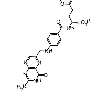 [N-]=[N+]=NOC(=O)CCC(NC(=O)c1ccc(NCc2cnc3nc(N)[nH]c(=O)c3n2)cc1)C(=O)O